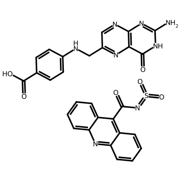 Nc1nc2ncc(CNc3ccc(C(=O)O)cc3)nc2c(=O)[nH]1.O=C(N=S(=O)=O)c1c2ccccc2nc2ccccc12